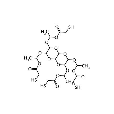 CC(OC(=O)CS)OC1OC2OC(OC(C)OC(=O)CS)C(OC(C)OC(=O)CS)OC2OC1OC(C)OC(=O)CS